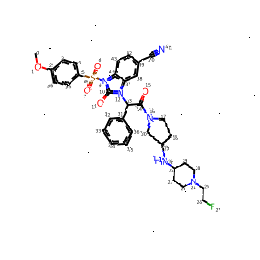 COc1ccc(S(=O)(=O)n2c(=O)n(C(C(=O)N3CCC(NC4CCN(CCF)CC4)C3)c3ccccc3)c3cc(C#N)ccc32)cc1